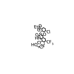 CCS(=O)(=O)c1ccc(Cl)cc1Cn1c(=O)[nH]c2c(Cl)c(CN3CC[C@@H](CO)C3)c(C(F)(F)F)cc2c1=O